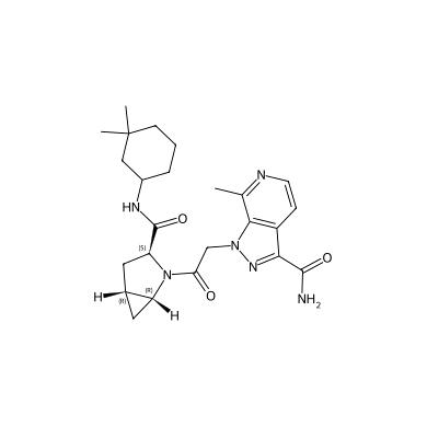 Cc1nccc2c(C(N)=O)nn(CC(=O)N3[C@@H]4C[C@@H]4C[C@H]3C(=O)NC3CCCC(C)(C)C3)c12